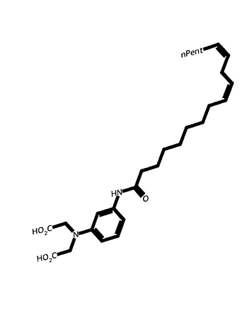 CCCCC/C=C\C/C=C\CCCCCCCC(=O)Nc1cccc(N(CC(=O)O)CC(=O)O)c1